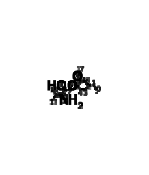 [CH2]Cc1ccc(OCC(O)C(N)C(C)C)c(OC)c1